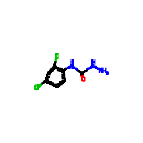 NNC(=O)Nc1ccc(Cl)cc1Cl